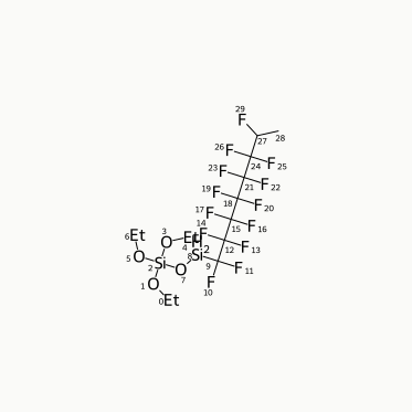 CCO[Si](OCC)(OCC)O[SiH2]C(F)(F)C(F)(F)C(F)(F)C(F)(F)C(F)(F)C(F)(F)C(C)F